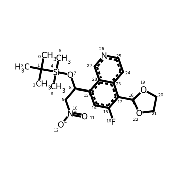 CC(C)(C)[Si](C)(C)OC(C[N+](=O)[O-])c1cc(F)c(C2OCCO2)c2ccncc12